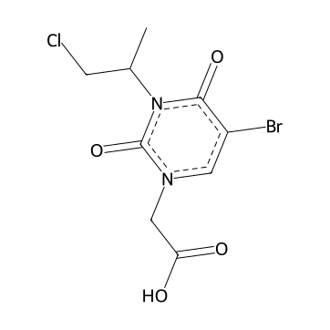 CC(CCl)n1c(=O)c(Br)cn(CC(=O)O)c1=O